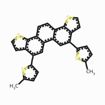 Cc1ccc(-c2cc3c4cc(-c5ccc(C)s5)c5ccsc5c4ccc3c3sccc23)s1